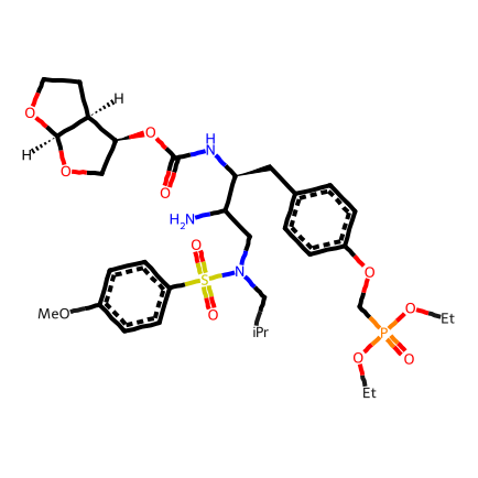 CCOP(=O)(COc1ccc(C[C@H](NC(=O)O[C@H]2CO[C@H]3OCC[C@H]32)C(N)CN(CC(C)C)S(=O)(=O)c2ccc(OC)cc2)cc1)OCC